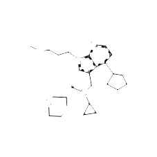 COCCCn1cc(CN(C(=O)[C@H]2CNCCO2)C2CC2)c2c(C3CCCC3)ccnc21